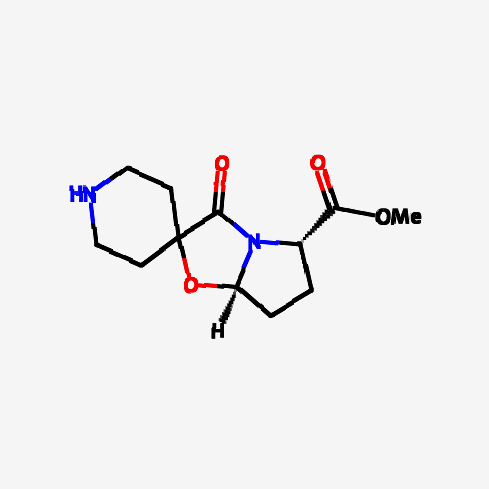 COC(=O)[C@@H]1CC[C@H]2OC3(CCNCC3)C(=O)N21